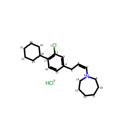 Cl.Clc1cc(C/C=C\N2CCCCCC2)ccc1C1CCCCC1